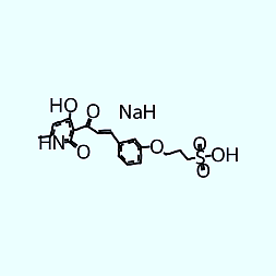 Cc1cc(O)c(C(=O)/C=C/c2cccc(OCCCS(=O)(=O)O)c2)c(=O)[nH]1.[NaH]